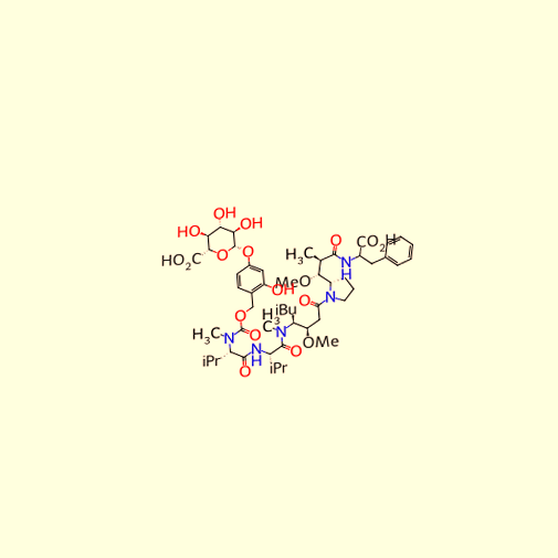 CCC(C)[C@@H]([C@@H](CC(=O)N1CCC[C@H]1[C@H](OC)[C@@H](C)C(=O)NC(Cc1ccccc1)C(=O)O)OC)N(C)C(=O)[C@@H](NC(=O)[C@H](C(C)C)N(C)C(=O)OCc1ccc(O[C@@H]2O[C@H](C(=O)O)[C@@H](O)[C@H](O)[C@H]2O)cc1O)C(C)C